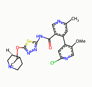 COc1cnc(Cl)cc1-c1cc(C)ncc1C(=O)Nc1nnc(O[C@@H]2CN3CCC2CC3)s1